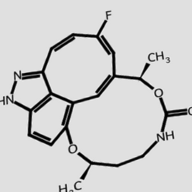 C[C@@H]1CCNC(=O)O[C@H](C)C2=Cc3c(ccc4[nH]nc(c34)C=CC(F)=C2)O1